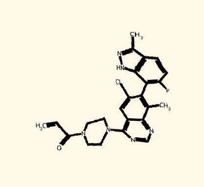 C=CC(=O)N1CCN(c2ncnc3c(C)c(-c4c(F)ccc5c(C)n[nH]c45)c(Cl)cc23)CC1